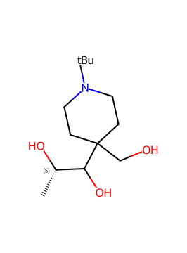 C[C@H](O)C(O)C1(CO)CCN(C(C)(C)C)CC1